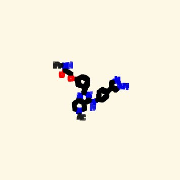 CC(=O)N1CCc2nc(-c3cccc(OCC(=O)NC(C)C)c3)nc(Nc3ccc(-c4cn[nH]c4)cc3)c2C1